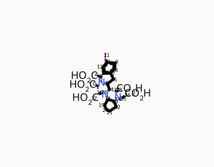 O=C(O)CN(CC(=O)O)C(Cc1ccc(I)cc1)CN(CC(=O)O)C1CCCCC1N(CC(=O)O)CC(=O)O